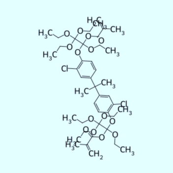 C=C(C)C(=O)OC(OCC)(Oc1ccc(C(C)(C)c2ccc(OC(OCC)(OC(=O)C(=C)C)C(OCC)(OCC)OCC)c(Cl)c2)cc1Cl)C(OCC)(OCC)OCC